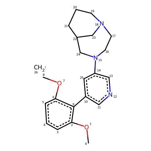 COc1cccc(OC)c1-c1cncc(N2CCN3CCCC(C3)C2)c1.[CH2]